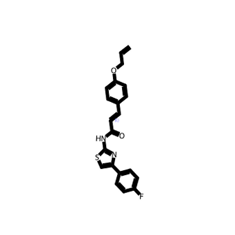 C=CCOc1ccc(/C=C/C(=O)Nc2nc(-c3ccc(F)cc3)cs2)cc1